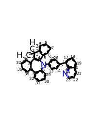 CC1(C)C2=C(c3ccccc31)N(c1ccc(-c3cccc4cccnc34)cc1)c1ccccc1C1C=CC=CC21